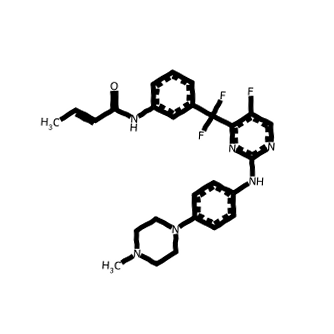 C/C=C/C(=O)Nc1cccc(C(F)(F)c2nc(Nc3ccc(N4CCN(C)CC4)cc3)ncc2F)c1